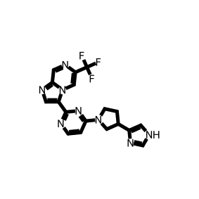 FC(F)(F)c1cn2c(-c3nccc(N4CCC(c5c[nH]cn5)C4)n3)cnc2cn1